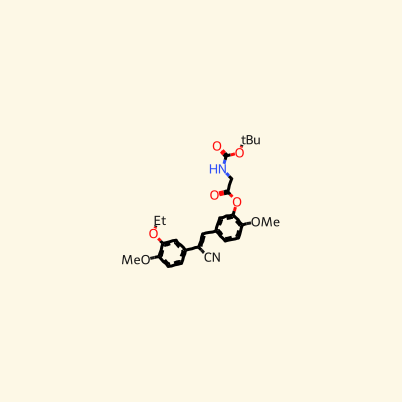 CCOc1cc(C(C#N)=Cc2ccc(OC)c(OC(=O)CNC(=O)OC(C)(C)C)c2)ccc1OC